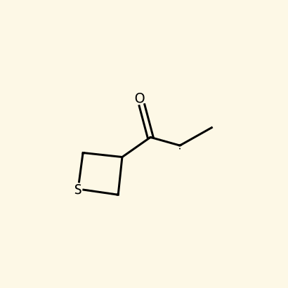 C[CH]C(=O)C1CSC1